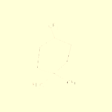 CC1(C)CCC(C(F)(F)F)CC1